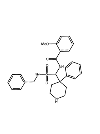 COc1ccccc1C(=O)NC(C1(c2ccccc2)CCNCC1)S(=O)(=O)NCc1ccccc1